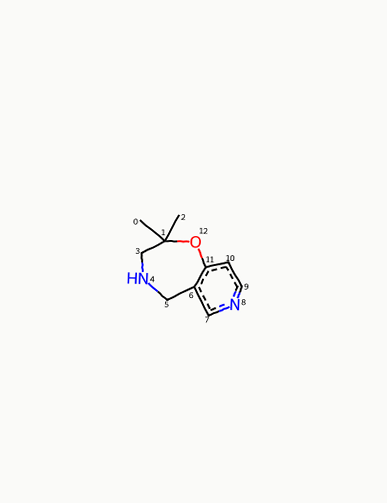 CC1(C)CNCc2cnccc2O1